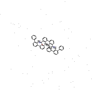 CC/C(=N\c1c(-c2ccccc2)cccc1-c1ccccc1)c1cccc2c1nnc1c(/C(C)=N/c3c(-c4ccccc4)cccc3-c3ccccc3)cccc12